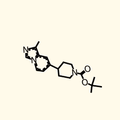 Cc1ncn2ccc(C3CCN(C(=O)OC(C)(C)C)CC3)cc12